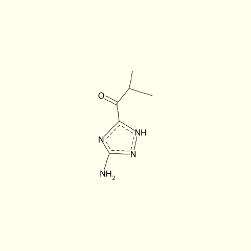 CC(C)C(=O)c1nc(N)n[nH]1